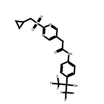 O=C(Cc1cnc(S(=O)(=O)CC2CC2)nc1)Nc1ccc(C(O)(C(F)(F)F)C(F)(F)F)cc1